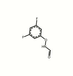 O=CNOc1cc(F)cc(F)c1